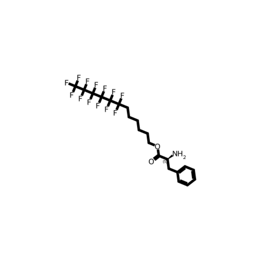 N[C@@H](Cc1ccccc1)C(=O)OCCCCCCC(F)(F)C(F)(F)C(F)(F)C(F)(F)C(F)(F)C(F)(F)F